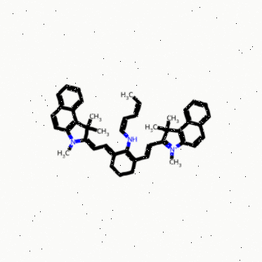 C/C=C\C=C/NC1=C(/C=C/C2=[N+](C)c3ccc4ccccc4c3C2(C)C)CCC/C1=C\C=C1\N(C)c2ccc3ccccc3c2C1(C)C